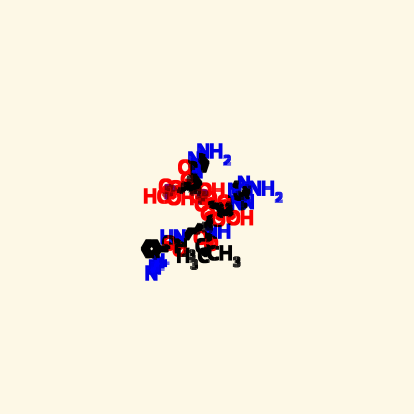 CC(C)(C)OC(=O)N[C@H](CCCCNC(=O)OCc1ccccc1N=[N+]=[N-])C(=O)OC1C(COP(=O)(O)O[C@H]2C[C@H](n3ccc(N)nc3=O)O[C@@H]2COP(=O)(O)O)OC(n2cnc3c(N)ncnc32)C1O